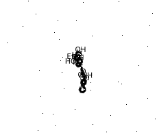 CC[C@H]1[C@@H](O)[C@@H]2[C@H](CC[C@]3(C)[C@@H](CCOC(=O)NS(=O)(=O)c4ccc(N5CCCCCC5)cc4)CC[C@@H]23)[C@@]2(C)CC[C@@H](O)C[C@@H]12